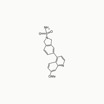 COc1ccc2c(-c3ccc4c(c3)CN(S(N)(=O)=O)C4)ccnc2c1